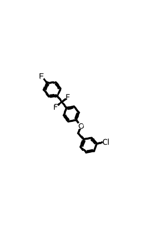 Fc1ccc(C(F)(F)c2ccc(OCc3cccc(Cl)c3)cc2)cc1